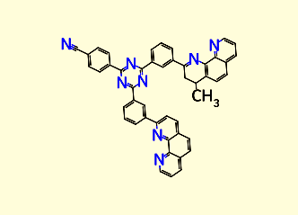 CC1CC(c2cccc(-c3nc(-c4ccc(C#N)cc4)nc(-c4cccc(-c5ccc6ccc7cccnc7c6n5)c4)n3)c2)=Nc2c1ccc1cccnc21